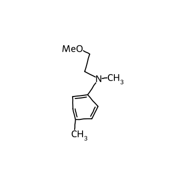 COCCN(C)c1ccc(C)cc1